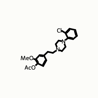 COc1cc(CCN2CCN(c3ccccc3Cl)CC2)ccc1OC(C)=O